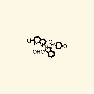 O=CC1c2ccccc2[C@@H](C(=O)N2CCC(=O)CC2)N1c1ccc2ccc(Cl)nc2n1